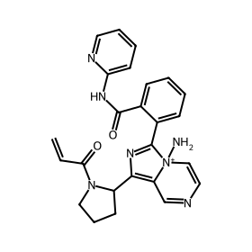 C=CC(=O)N1CCCC1C1=C2C=NC=C[N+]2(N)C(c2ccccc2C(=O)Nc2ccccn2)=N1